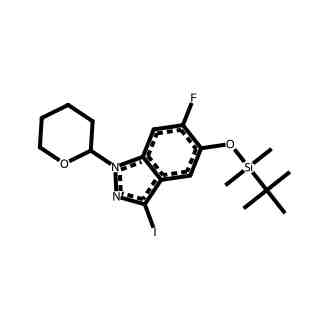 CC(C)(C)[Si](C)(C)Oc1cc2c(I)nn(C3CCCCO3)c2cc1F